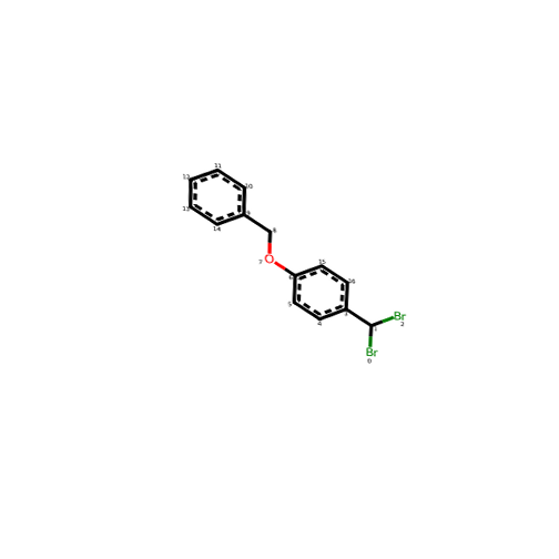 BrC(Br)c1ccc(OCc2ccccc2)cc1